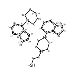 SCCN1CCN(c2cccc3[nH]ccc23)CC1.c1cc(N2CCNCC2)c2cc[nH]c2c1